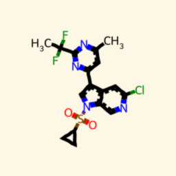 Cc1cc(-c2cn(S(=O)(=O)C3CC3)c3cnc(Cl)cc23)nc(C(C)(F)F)n1